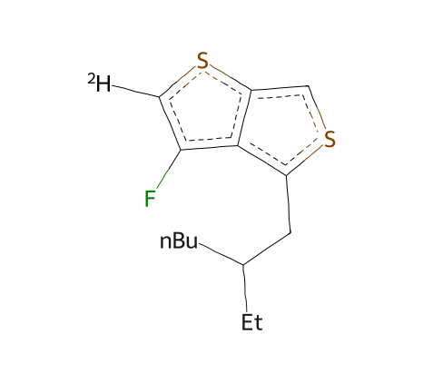 [2H]c1sc2csc(CC(CC)CCCC)c2c1F